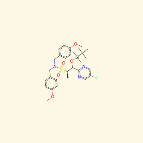 COc1ccc(CN(Cc2ccc(OC)cc2)S(=O)(=O)[C@H](C)C(O[Si](C)(C)C(C)(C)C)c2ncc(F)cn2)cc1